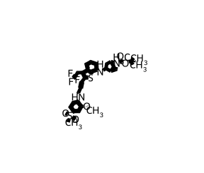 COc1cc(S(C)(=O)=O)ccc1NCC#Cc1sc2c(NC3CC4CC3CN4C(=O)OC(C)(C)C)cccc2c1CC(F)(F)F